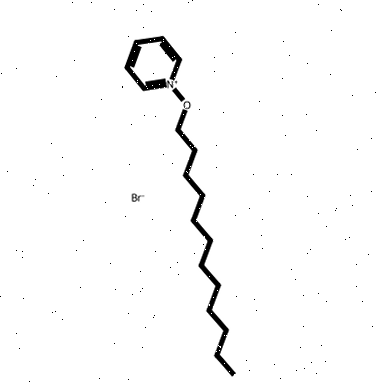 CCCCCCCCCCCCO[n+]1ccccc1.[Br-]